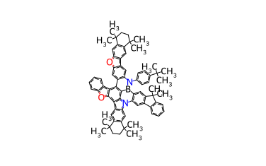 CC(C)(C)c1ccc(N2B3c4cc5c(cc4-n4c6cc7c(cc6c6c8oc9ccccc9c8c(c3c64)-c3cc4oc6cc8c(cc6c4cc32)C(C)(C)CCC8(C)C)C(C)(C)CCC7(C)C)-c2ccccc2C5(C)C)cc1